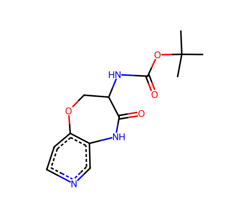 CC(C)(C)OC(=O)NC1COc2ccncc2NC1=O